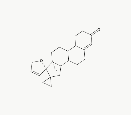 C[C@]12CCC3C4CCC(=O)C=C4CCC3C1CC1(CC1)[C@@]21C=CCO1